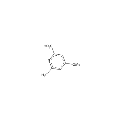 COc1cc(C)nc(C(=O)O)c1